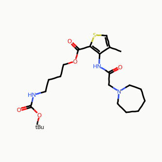 Cc1csc(C(=O)OCCCCNC(=O)OC(C)(C)C)c1NC(=O)CN1CCCCCC1